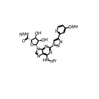 CCCNc1nc(-n2cc(-c3cc(OC)ccn3)nn2)nc2c1ncn2[C@@H]1O[C@H](C(=O)NC)[C@@H](O)[C@H]1O